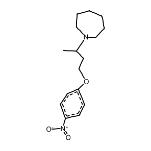 CC(CCOc1ccc([N+](=O)[O-])cc1)N1CCCCCC1